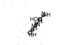 Oc1cc(-c2cn[nH]c2)cnc1-c1nc2sc(N3CC4(CCCNC4)C3)nc2s1